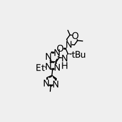 CCn1c(-c2cnc(C)nc2)nc2c(N[C@@H](C(=O)N3CC(C)OC(C)C3)C(C)(C)C)ncnc21